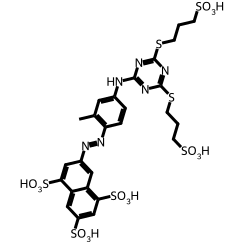 Cc1cc(Nc2nc(SCCCS(=O)(=O)O)nc(SCCCS(=O)(=O)O)n2)ccc1N=Nc1cc(S(=O)(=O)O)c2cc(S(=O)(=O)O)cc(S(=O)(=O)O)c2c1